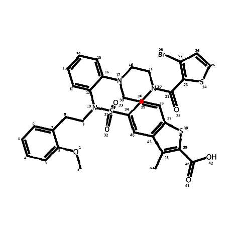 COc1ccccc1CCN(c1ccccc1N1CCN(C(=O)c2sccc2Br)CC1)S(=O)(=O)c1ccc2sc(C(=O)O)c(C)c2c1